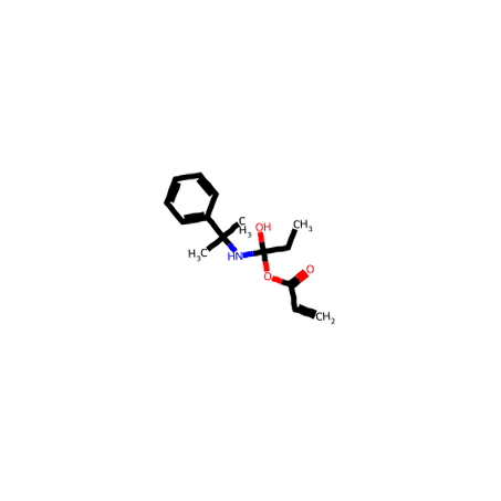 C=CC(=O)OC(O)(CC)NC(C)(C)c1ccccc1